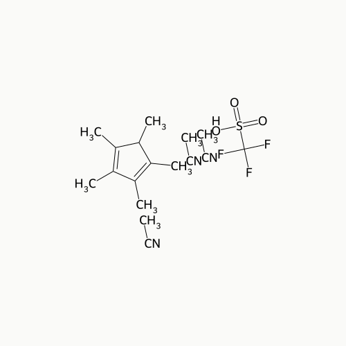 CC#N.CC#N.CC#N.CC1=C(C)C(C)C(C)=C1C.O=S(=O)(O)C(F)(F)F